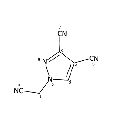 N#CCn1[c]c(C#N)c(C#N)n1